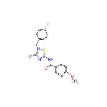 COc1ccc(C(=O)Nc2nc(=O)n(Cc3ccc(F)cc3)s2)cc1